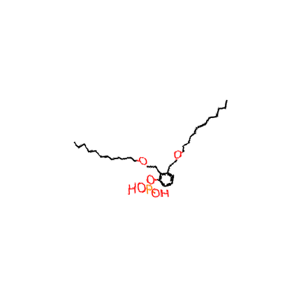 CCCCCCCCCCCCOCCc1cccc(OP(O)O)c1CCOCCCCCCCCCCCC